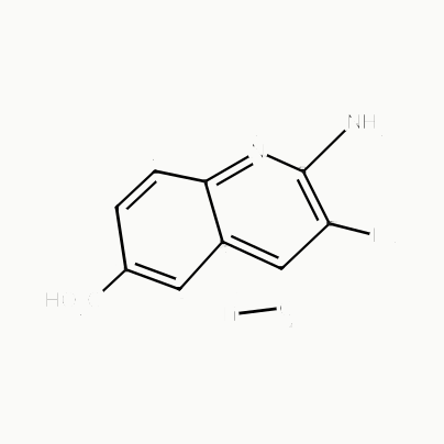 Nc1nc2ccc(C(=O)O)cc2cc1I.[Li][Cl]